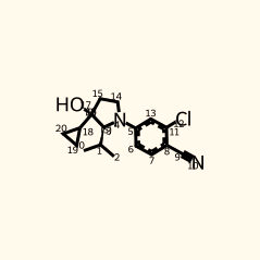 CC(C)[C@@H]1N(c2ccc(C#N)c(Cl)c2)CC[C@@]1(O)C1CC1